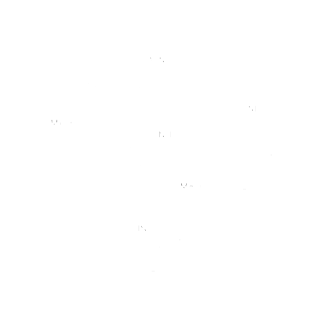 CCC(=O)NCCc1c[nH]c2c(Cl)c(Cl)c(OC)cc12.COc1cc2c(CCNC(C)=O)c(C)[nH]c2c(Cl)c1F